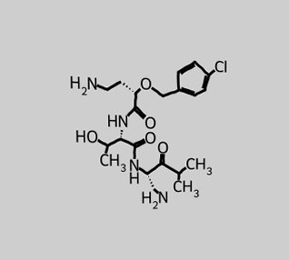 CC(C)C(=O)[C@H](CN)NC(=O)[C@@H](NC(=O)[C@H](CCN)OCc1ccc(Cl)cc1)C(C)O